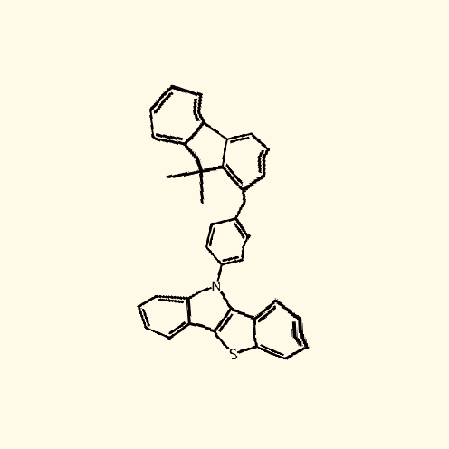 CC1(C)c2ccccc2-c2cccc(-c3ccc(-n4c5ccccc5c5sc6ccccc6c54)cc3)c21